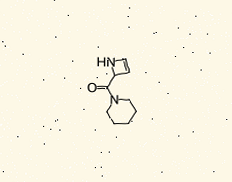 O=C(C1C=CN1)N1CCCCC1